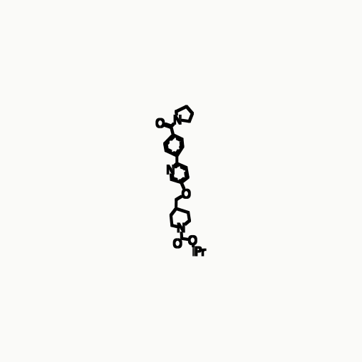 CC(C)OC(=O)N1CCC(COc2ccc(-c3ccc(C(=O)N4CCCC4)cc3)nc2)CC1